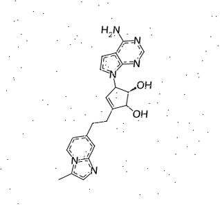 Cc1cnc2cc(CCC3=CC(n4ccc5c(N)ncnc54)[C@@H](O)C3O)ccn12